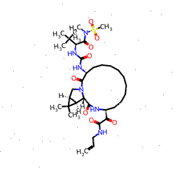 C=CCNC(=O)C(=O)[C@@H]1CCCCCCCCC[C@H](NC(=O)N[C@H](C(=O)N(C)S(C)(=O)=O)C(C)(C)C)C(=O)N2C[C@H]3[C@@H]([C@H]2C(=O)N1)C3(C)C